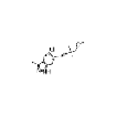 COCC(C)(C)C#Cc1cc2[nH]nc(C)c2cc1Cl